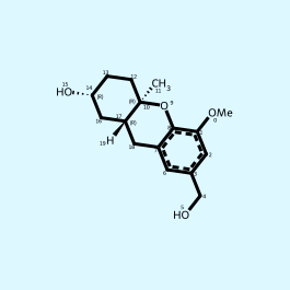 COc1cc(CO)cc2c1O[C@]1(C)CC[C@@H](O)C[C@H]1C2